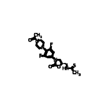 CC(=O)N1CCN(c2c(F)cc(N3C[C@H](CNC(C)=S)OC3=O)cc2F)CC1